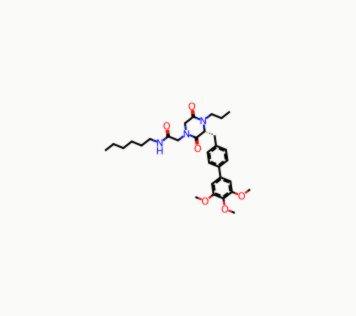 CCCCCCNC(=O)CN1CC(=O)N(CCC)[C@H](Cc2ccc(-c3cc(OC)c(OC)c(OC)c3)cc2)C1=O